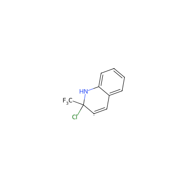 FC(F)(F)C1(Cl)[C]=Cc2ccccc2N1